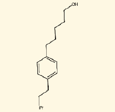 CC(C)CCc1ccc(CCCCCO)cc1